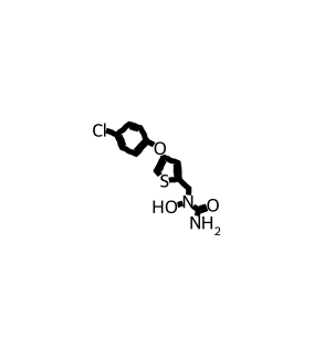 NC(=O)N(O)Cc1cc(Oc2ccc(Cl)cc2)cs1